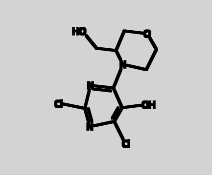 OCC1COCCN1c1nc(Cl)nc(Cl)c1O